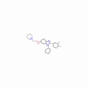 Cc1ccc(-c2nc3ccc(OCCN4CCCCC4)cc3n2-c2ccccc2)cc1C